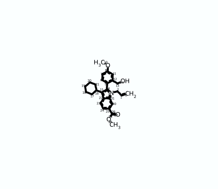 C=CCn1c(-c2ccc(OC)cc2CO)c(C2CCCCC2)c2ccc(C(=O)OC)cc21